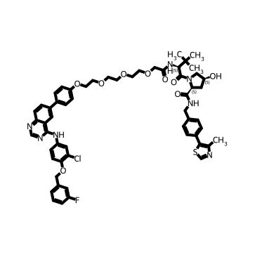 Cc1ncsc1-c1ccc(CNC(=O)[C@@H]2C[C@H](O)CN2C(=O)[C@@H](NC(=O)COCCOCCOCCOc2ccc(-c3ccc4ncnc(Nc5ccc(OCc6cccc(F)c6)c(Cl)c5)c4c3)cc2)C(C)(C)C)cc1